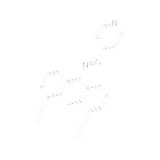 C#Cc1cccc2c(N=Nc3ccncc3)c3cccc(C#C)c3cc12